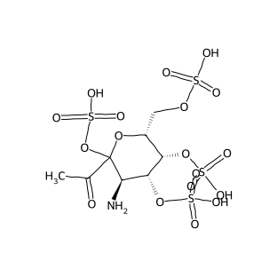 CC(=O)C1(OS(=O)(=O)O)O[C@H](COS(=O)(=O)O)[C@H](OS(=O)(=O)O)[C@H](OS(=O)(=O)O)[C@H]1N